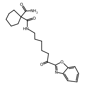 NC(=O)C1(C(=O)NCCCCCC(=O)c2nc3ccccc3o2)CCCCC1